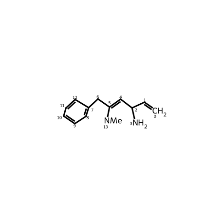 C=CC(N)/C=C(/Cc1ccccc1)NC